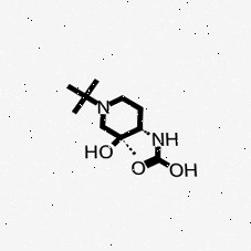 CC(C)(C)N1CC[C@H](NC(=O)O)[C@@](C)(O)C1